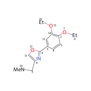 CCOc1ccc(-c2nc(CNC)co2)cc1OCC